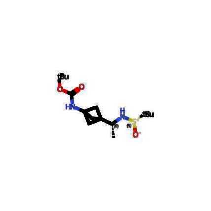 C[C@@H](N[S@+]([O-])C(C)(C)C)C12CC(NC(=O)OC(C)(C)C)(C1)C2